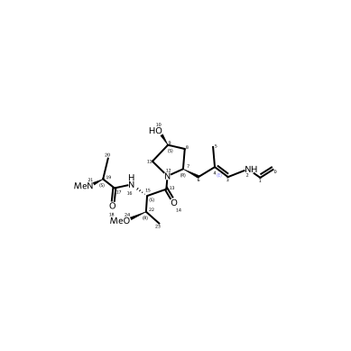 C=CN/C=C(\C)C[C@@H]1C[C@H](O)CN1C(=O)[C@@H](NC(=O)[C@H](C)NC)[C@@H](C)OC